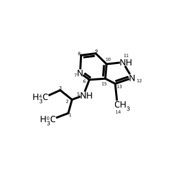 CCC(CC)Nc1nccc2[nH]nc(C)c12